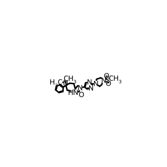 CN(C)[C@]1(c2ccccc2)CC[C@]2(CC1)CN(c1cnc(N3CCN(S(C)(=O)=O)CC3)nc1)C(=O)N2